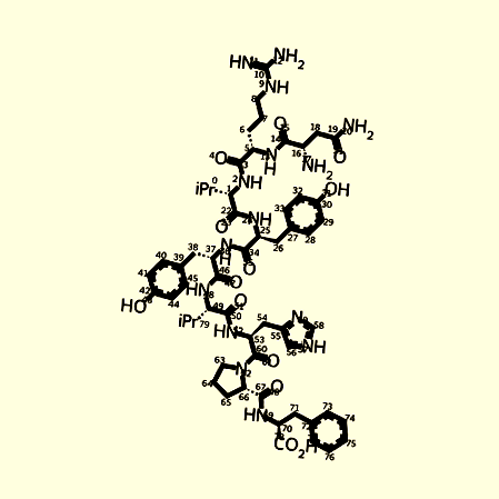 CC(C)[C@H](NC(=O)[C@H](CCCNC(=N)N)NC(=O)[C@@H](N)CC(N)=O)C(=O)N[C@@H](Cc1ccc(O)cc1)C(=O)N[C@@H](Cc1ccc(O)cc1)C(=O)N[C@H](C(=O)N[C@@H](Cc1c[nH]cn1)C(=O)N1CCC[C@H]1C(=O)N[C@@H](Cc1ccccc1)C(=O)O)C(C)C